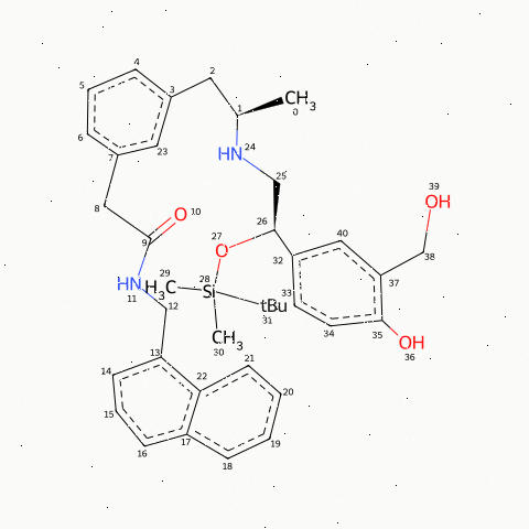 C[C@H](Cc1cccc(CC(=O)NCc2cccc3ccccc23)c1)NC[C@H](O[Si](C)(C)C(C)(C)C)c1ccc(O)c(CO)c1